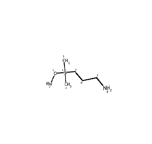 CC(C)(C)O[Si](C)(C)CCCN